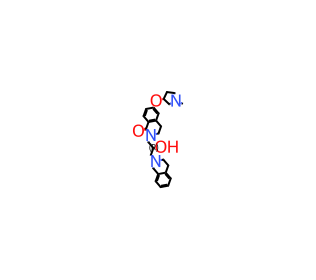 CN1CCC(Oc2ccc3c(c2)CCN(C[C@H](O)CN2CCc4ccccc4C2)C3=O)C1